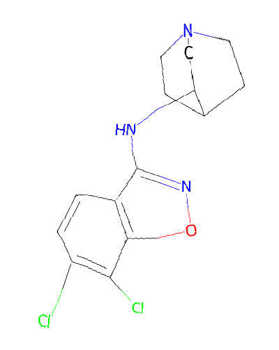 Clc1ccc2c(NC3CN4CCC3CC4)noc2c1Cl